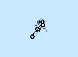 Cc1nc(OCc2ccccc2)ccc1Nc1cccc(Br)c1[N+](=O)[O-]